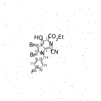 CCOC(=O)c1nc(C#N)c2c(c1O)c(Br)c(Br)n2Cc1ccc(F)cc1